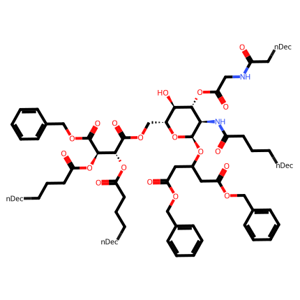 CCCCCCCCCCCCCC(=O)N[C@H]1[C@@H](OC(CC(=O)OCc2ccccc2)CC(=O)OCc2ccccc2)O[C@H](COC(=O)[C@H](OC(=O)CCCCCCCCCCCCC)[C@@H](OC(=O)CCCCCCCCCCCCC)C(=O)OCc2ccccc2)[C@@H](O)[C@@H]1OC(=O)CNC(=O)CCCCCCCCCCC